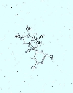 C[C@@]1(C(=O)O)[C@H](O)[C@H](O)CN1S(=O)(=O)c1cc(Cl)cc(Cl)c1